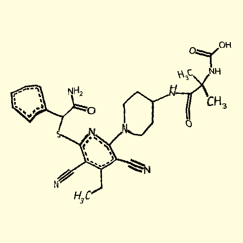 CCc1c(C#N)c(SC(C(N)=O)c2ccccc2)nc(N2CCC(NC(=O)C(C)(C)NC(=O)O)CC2)c1C#N